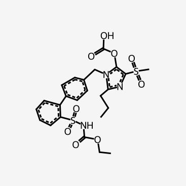 CCCc1nc(S(C)(=O)=O)c(OC(=O)O)n1Cc1ccc(-c2ccccc2S(=O)(=O)NC(=O)OCC)cc1